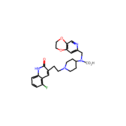 O=C(O)N(Cc1cc2c(cn1)OCCO2)C1CCN(CCc2cc3c(F)cccc3[nH]c2=O)CC1